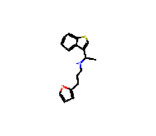 CC(NCCCc1ccco1)c1csc2ccccc12